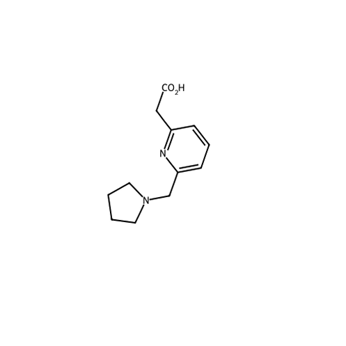 O=C(O)Cc1cccc(CN2CCCC2)n1